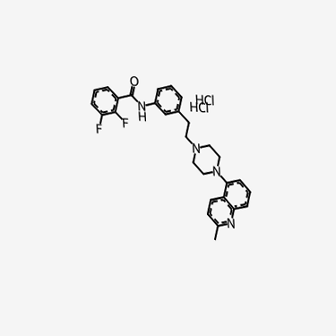 Cc1ccc2c(N3CCN(CCc4cccc(NC(=O)c5cccc(F)c5F)c4)CC3)cccc2n1.Cl.Cl